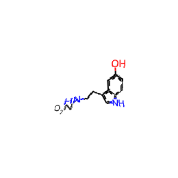 O=[N+]([O-])NCCc1c[nH]c2ccc(O)cc12